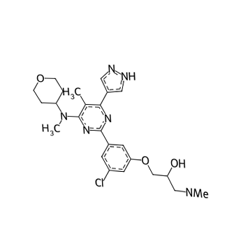 CNCC(O)COc1cc(Cl)cc(-c2nc(-c3cn[nH]c3)c(C)c(N(C)C3CCOCC3)n2)c1